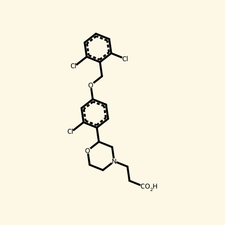 O=C(O)CCN1CCOC(c2ccc(OCc3c(Cl)cccc3Cl)cc2Cl)C1